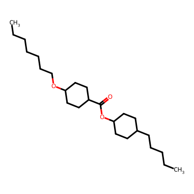 CCCCCCCOC1CCC(C(=O)OC2CCC(CCCCC)CC2)CC1